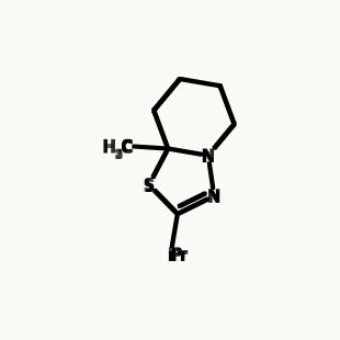 CC(C)C1=NN2CCCCC2(C)S1